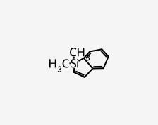 C[Si]1(C)C=Cc2ccccc21